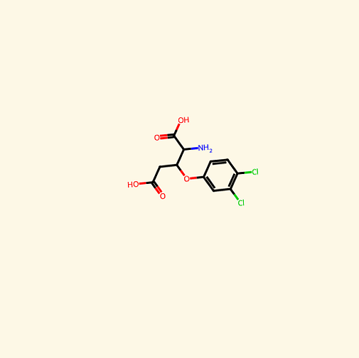 NC(C(=O)O)C(CC(=O)O)Oc1ccc(Cl)c(Cl)c1